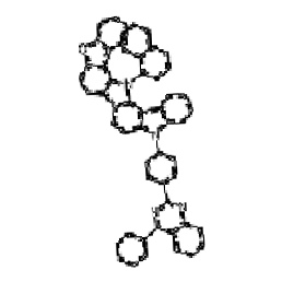 c1ccc(-c2nc(-c3ccc(-n4c5ccccc5c5c4ccc4c6ccc7oc8ccccc8c7c6n(-c6cccc7ccccc67)c45)cc3)nc3ccccc23)cc1